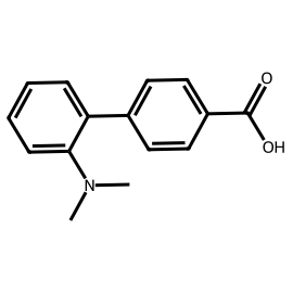 CN(C)c1ccccc1-c1ccc(C(=O)O)cc1